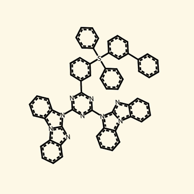 c1ccc(-c2cccc(S(c3ccccc3)(c3ccccc3)c3cccc(-c4nc(-n5c6ccccc6n6c7ccccc7nc56)nc(-n5c6ccccc6n6c7ccccc7nc56)n4)c3)c2)cc1